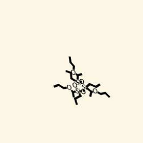 CCCOC(C)[Si]1(CCC)O[Si](CCC)(C(C)OCCC)O[Si](CCC)(C(C)OCCC)O1